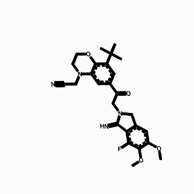 COc1cc2c(c(F)c1OC)C(=N)N(CC(=O)c1cc3c(c(C(C)(C)C)c1)OCCN3CC#N)C2